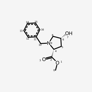 COC(=O)[C@H]1C[C@@H](O)CN1Cc1ccccc1